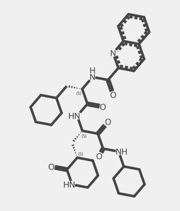 O=C(NC1CCCCC1)C(=O)[C@H](C[C@@H]1CCCNC1=O)NC(=O)[C@H](CC1CCCCC1)NC(=O)c1ccc2ccccc2n1